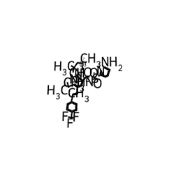 C[C@@H]1CN(c2nc(C(C)(C)C)c(C=Cc3ccc(C(F)(F)F)cc3)cc2C(=O)NS(=O)(=O)c2cccc(N)n2)C(C)(C)C1